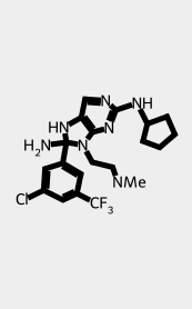 CNCCN1c2nc(NC3CCCC3)ncc2NC1(N)c1cc(Cl)cc(C(F)(F)F)c1